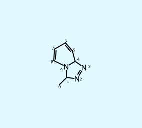 CC1N=NC2C=CC=CN12